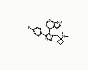 CN(C)C1(Cn2cnc(-c3ccc(F)cc3)c2-c2ccnc3[nH]ccc23)CCC1